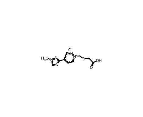 Cn1cnc(-c2cc[n+](CSCC(=O)O)nc2)n1.[Cl-]